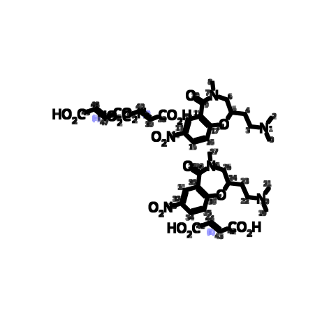 CN(C)CCC1CN(C)C(=O)c2cc([N+](=O)[O-])ccc2O1.CN(C)CCC1CN(C)C(=O)c2cc([N+](=O)[O-])ccc2O1.O=C(O)/C=C/C(=O)O.O=C(O)/C=C/C(=O)O.O=C(O)/C=C/C(=O)O